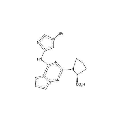 CC(C)n1cnc(Nc2nc(N3CCC[C@H]3C(=O)O)nn3cccc23)c1